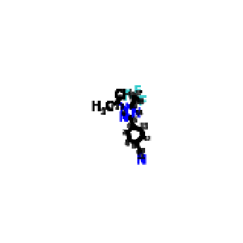 CC(C)n1nc(-c2ccc(C#N)cc2)nc1C(F)(F)F